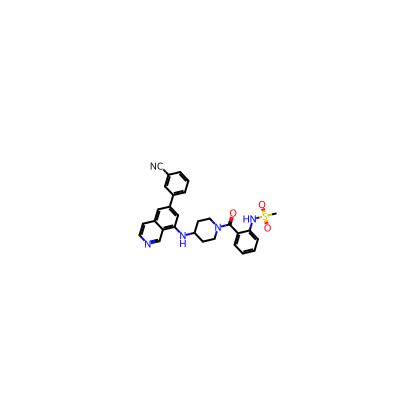 CS(=O)(=O)Nc1ccccc1C(=O)N1CCC(Nc2cc(-c3cccc(C#N)c3)cc3ccncc23)CC1